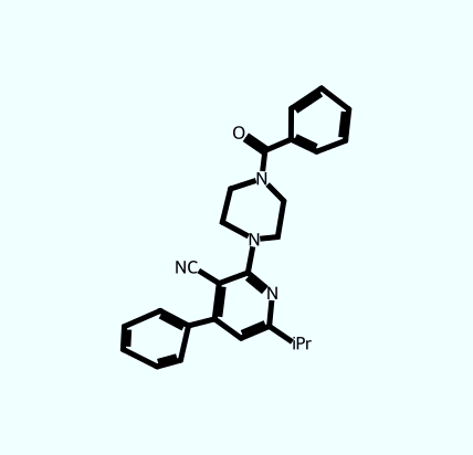 CC(C)c1cc(-c2ccccc2)c(C#N)c(N2CCN(C(=O)c3ccccc3)CC2)n1